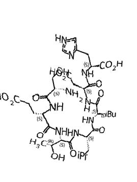 CC[C@H](C)[C@H](NC(=O)[C@H](CC(C)C)NC(=O)[C@@H](NC(=O)[C@H](CCC(=O)O)NC(=O)[C@@H](N)CO)[C@@H](C)O)C(=O)N[C@@H](CC(=O)O)C(=O)N[C@@H](Cc1c[nH]cn1)C(=O)O